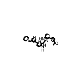 CC(=O)c1ccc(-c2nccc3[nH]c(-c4n[nH]c5ccc(-c6cncc(CN7CCCCC7)c6)nc45)nc23)s1